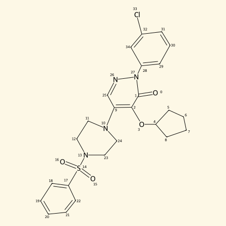 O=c1c(OC2CCCC2)c(N2CCN(S(=O)(=O)c3ccccc3)CC2)cnn1-c1cccc(Cl)c1